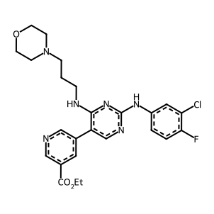 CCOC(=O)c1cncc(-c2cnc(Nc3ccc(F)c(Cl)c3)nc2NCCCN2CCOCC2)c1